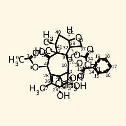 CC(=O)O[C@H]1C(=O)[C@@]2(C)[C@H]([C@H](OC(=O)c3ccccc3)[C@]3(O)[C@@H](O)[C@H](O)C(C)=C1C3(C)C)[C@]1(OC(C)=O)CO[C@@H]1C[C@@H]2C